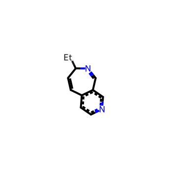 CCC1C=Cc2ccncc2C=N1